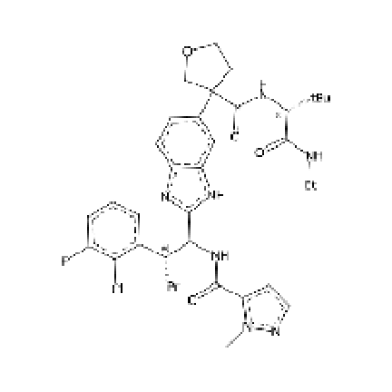 CCNC(=O)[C@H](NC(=O)C1(c2ccc3nc(C(NC(=O)c4ccnn4C)[C@@H](c4cccc(F)c4Cl)C(C)C)[nH]c3c2)CCOC1)C(C)(C)C